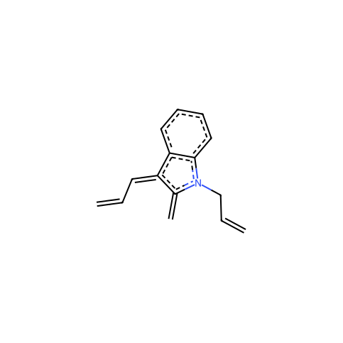 C=C/C=c1\c(=C)n(CC=C)c2ccccc12